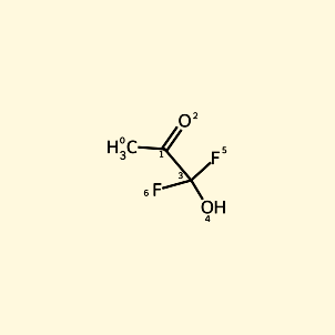 CC(=O)C(O)(F)F